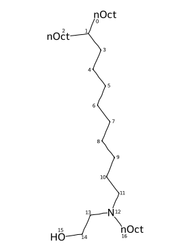 CCCCCCCCC(CCCCCCCC)CCCCCCCCCN(CCO)CCCCCCCC